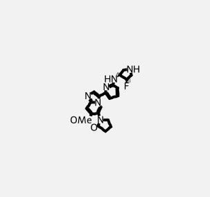 COc1cc2ncc(-c3cccc(N[C@@H]4CNC[C@H]4F)n3)n2cc1N1CCCC1=O